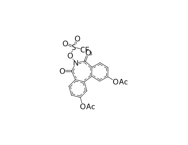 CC(=O)Oc1ccc2c(=O)n(OS(=O)(=O)C(F)(F)F)c(=O)c3ccc(OC(C)=O)cc3c2c1